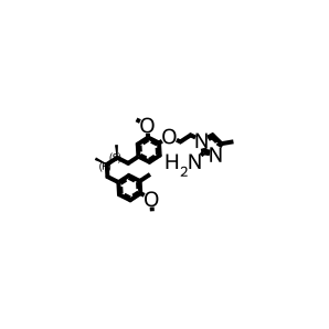 COc1ccc(C[C@@H](C)[C@@H](C)Cc2ccc(OCCn3cc(C)nc3N)c(OC)c2)cc1C